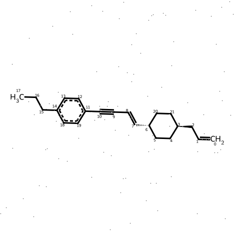 C=CC[C@H]1CC[C@H](C=CC#Cc2ccc(CCC)cc2)CC1